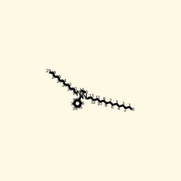 CCCCCCCCCCCCCCCN1C=CN(CCCCCCCCCCC)C1c1ccccc1